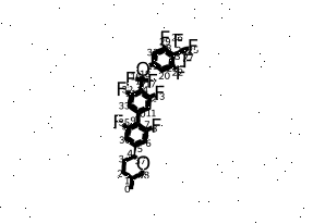 CC1CC[C@@H](c2cc(F)c(-c3cc(F)c(C(F)(F)Oc4cc(F)c(C(F)(F)F)c(F)c4)c(F)c3)c(F)c2)OC1